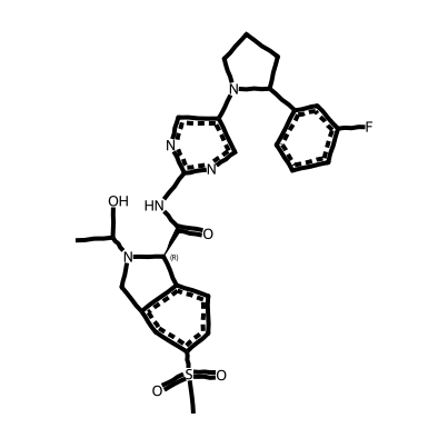 CC(O)N1Cc2cc(S(C)(=O)=O)ccc2[C@@H]1C(=O)Nc1ncc(N2CCCC2c2cccc(F)c2)cn1